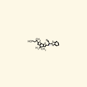 CN(CCO)c1cc2c(s1)-c1sc(/C=C(\C#N)c3nc4ccccc4s3)cc1C2(C)C